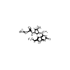 CN(c1nc(Cl)nc2sc(CC(F)(F)F)cc12)[C@H]1C[C@@H](NC(=O)OC(C)(C)C)C[C@H]1O